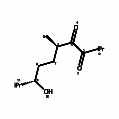 CC(C)C(=O)C(=O)[C@H](C)CC[C@H](O)C(C)C